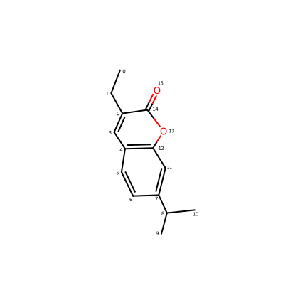 CCc1cc2ccc(C(C)C)cc2oc1=O